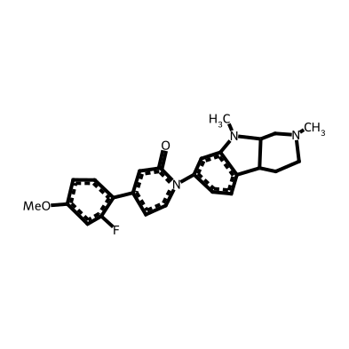 COc1ccc(-c2ccn(-c3ccc4c(c3)N(C)C3CN(C)CCC43)c(=O)c2)c(F)c1